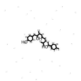 CC1CC=C(C(O)C[C@H](CCCC(C)C(O)CC2CCC(O)CC2)C(C)C)CC1